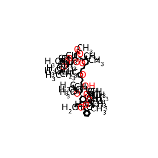 C=CCC1C[C@@H](C(/C=C/C(O)CCC2CC(=C)C(CCC3CC(C)C(=C)C(C[C@@H]4OC(CC(CO[Si](C)(C)C(C)(C)C)O[Si](C)(C)C(C)(C)C)[C@H](OC)C4CC(=O)OC)O3)O2)O[Si](C)(C)C(C)(C)C)C(O[Si](C)(C)C(C)(C)C)C(O[Si](C)(C)C(C)(C)C)C1OC(=O)c1ccccc1